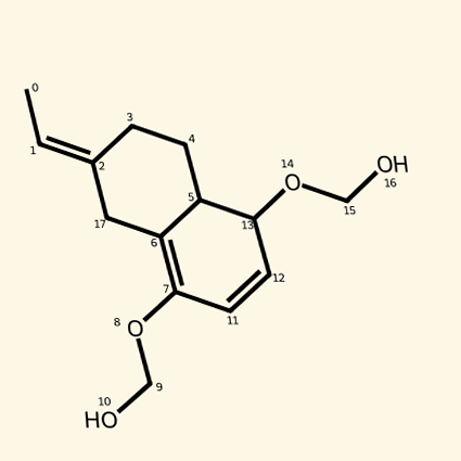 CC=C1CCC2C(=C(OCO)C=CC2OCO)C1